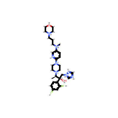 C[C@@H](N1CCN(c2ccc(N(C)CCCN3CCOCC3)cn2)CC1)[C@](O)(Cn1cncn1)c1ccc(F)cc1F